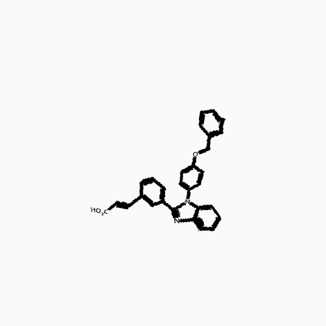 O=C(O)C=Cc1cccc(-c2nc3ccccc3n2-c2ccc(OCc3ccccc3)cc2)c1